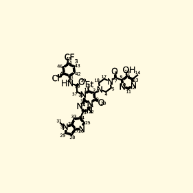 CCc1c(N2CCN(C(=O)c3ncnc(C)c3O)CC2)c(=O)n2nc(-c3cnc4ccn(C)c4c3)nc2n1CC(=O)Nc1ccc(C(F)(F)F)cc1Cl